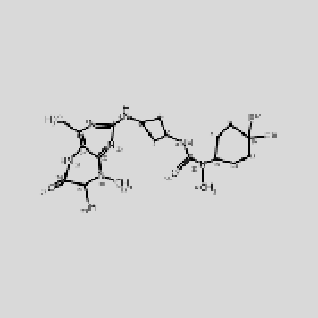 Cc1nc(NC2CC(NC(=O)N(C)C3CCC(F)(F)CC3)C2)nc2c1NC(=O)C(C(C)C)N2C